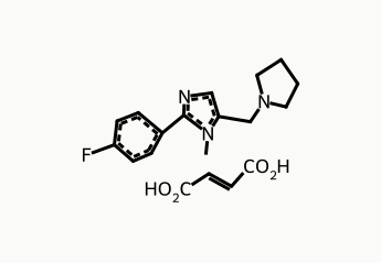 Cn1c(CN2CCCC2)cnc1-c1ccc(F)cc1.O=C(O)C=CC(=O)O